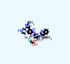 COc1cc(N2CCNCC2)c(-c2cnn(C)c2)cc1Nc1ncc(Br)c(Nc2cnc3ccccc3c2P(C)C)n1.O=C(O)C(F)(F)F